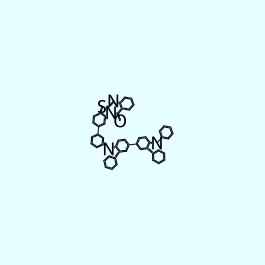 O=c1c2ccccc2nc2sc3ccc(-c4cccc(-n5c6ccccc6c6cc(-c7ccc8c(c7)c7ccccc7n8-c7ccccc7)ccc65)c4)cc3n12